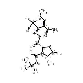 CC/C=C(C(N)=O)\C(=N/NC(=O)[C@@H]1C[C@@H](F)[C@H](C)N1C(=O)OC(C)(C)C)C(F)(F)F